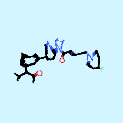 CC(=O)C(c1cccc(-c2ccc(NC(=O)/C=C/CN3CCC(F)CC3)nc2)c1)C(C)C